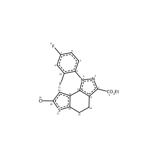 CCOC(=O)c1nn(-c2ccc(F)cc2F)c2c1CCc1sc(Cl)cc1-2